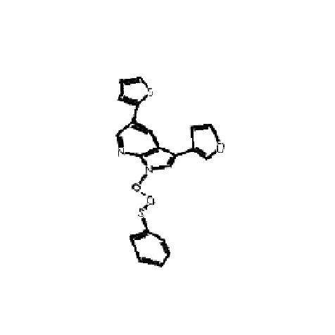 c1ccc(SOOn2cc(-c3ccoc3)c3cc(-c4cccs4)cnc32)cc1